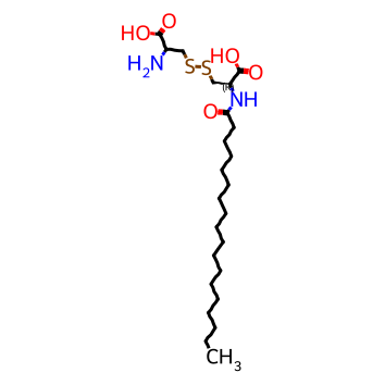 CCCCCCCCCCCCCCCCCC(=O)N[C@@H](CSSCC(N)C(=O)O)C(=O)O